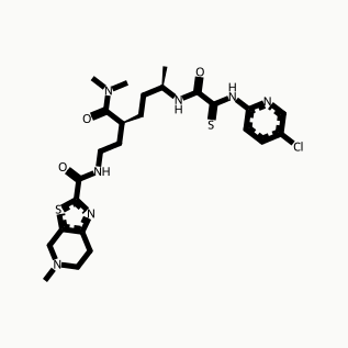 C[C@H](CC[C@@H](CCNC(=O)c1nc2c(s1)CN(C)CC2)C(=O)N(C)C)NC(=O)C(=S)Nc1ccc(Cl)cn1